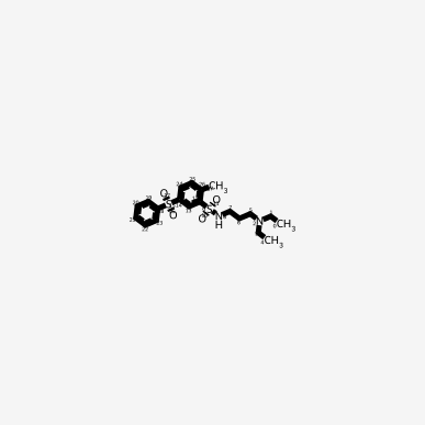 CCN(CC)CCCNS(=O)(=O)c1cc(S(=O)(=O)c2ccccc2)ccc1C